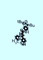 CCCCN(C(=O)OC(C)(C)C)c1ccc(NC(=O)c2cc(-c3ccc4ncsc4c3)n(-c3cccc(C)n3)n2)cc1